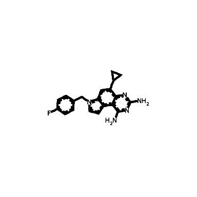 Nc1nc(N)c2c(n1)c(C1CC1)cc1c2ccn1Cc1ccc(F)cc1